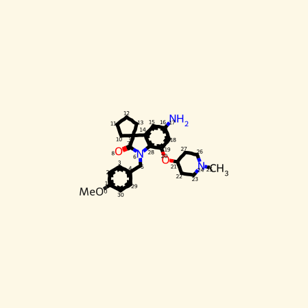 COc1ccc(CN2C(=O)C3(CCCC3)c3cc(N)cc(OC4CCN(C)CC4)c32)cc1